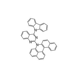 c1ccc2c3c(ccc2c1)N(c1nc(-n2c4ccccc4c4ccccc42)c2ccccc2n1)c1cccc2cccc-3c12